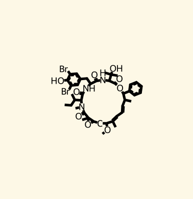 CCC(C)C1C(=O)NC(Cc2cc(Br)c(O)c(Br)c2)C(=O)NC(C(C)(C)O)C(=O)OC(c2ccccc2)C(C)/C=C/C=C(\C)C(OC)CC2OC2(C)C(=O)N1C